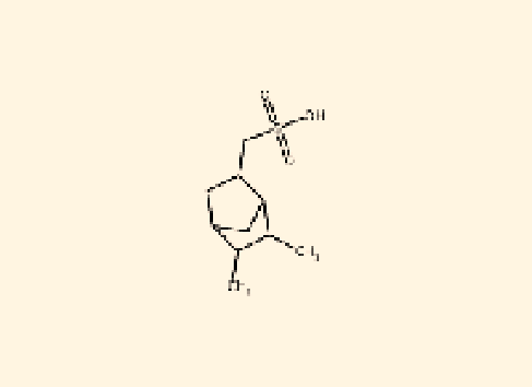 CC1C2CC(CS(=O)(=O)O)C(C2)C1C